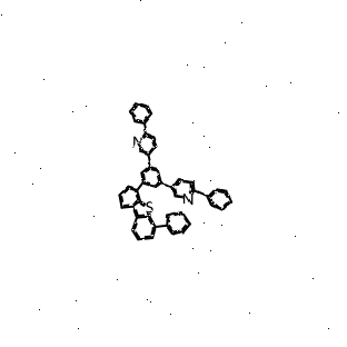 c1ccc(-c2ccc(-c3cc(-c4ccc(-c5ccccc5)nc4)cc(-c4cccc5c4sc4c(-c6ccccc6)cccc45)c3)cn2)cc1